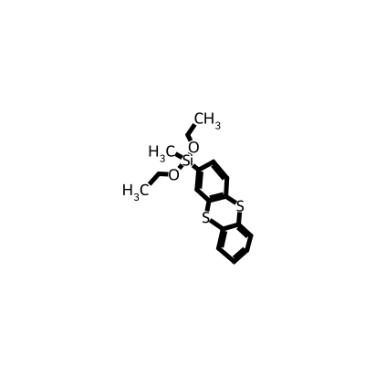 CCO[Si](C)(OCC)c1ccc2c(c1)Sc1ccccc1S2